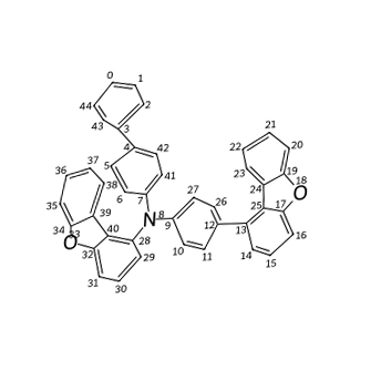 c1ccc(-c2ccc(N(c3ccc(-c4cccc5oc6ccccc6c45)cc3)c3cccc4oc5ccccc5c34)cc2)cc1